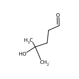 [CH2]C(C)(O)CCC=O